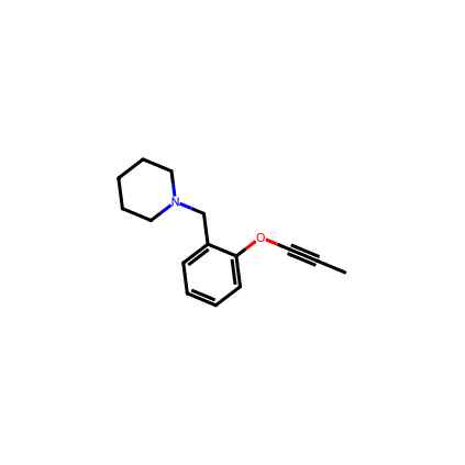 CC#COc1ccccc1CN1CCCCC1